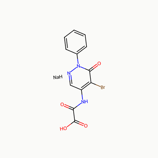 O=C(O)C(=O)Nc1cnn(-c2ccccc2)c(=O)c1Br.[NaH]